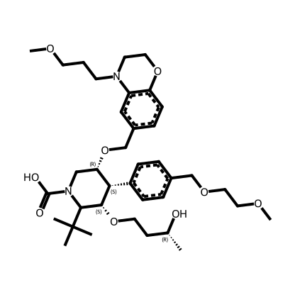 COCCCN1CCOc2ccc(CO[C@H]3CN(C(=O)O)C(C(C)(C)C)[C@@H](OCC[C@@H](C)O)[C@H]3c3ccc(COCCOC)cc3)cc21